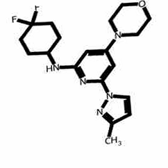 Cc1ccn(-c2cc(N3CCOCC3)cc(NC3CCC(F)(F)CC3)n2)n1